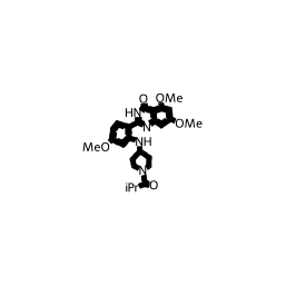 COc1ccc(-c2nc3cc(OC)cc(OC)c3c(=O)[nH]2)c(NC2CCN(C(=O)C(C)C)CC2)c1